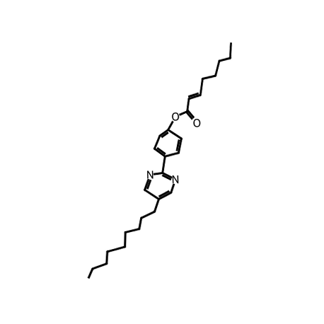 CCCCCC=CC(=O)Oc1ccc(-c2ncc(CCCCCCCCC)cn2)cc1